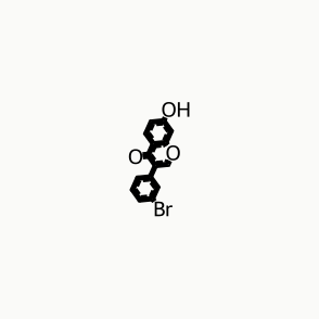 O=c1c(-c2cccc(Br)c2)coc2cc(O)ccc12